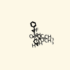 CC(C)(C)OC(=O)N1[C@@H]2C[C@@H]2C[C@H]1C(=O)N[C@H]1C[C@]1(F)c1ccccc1